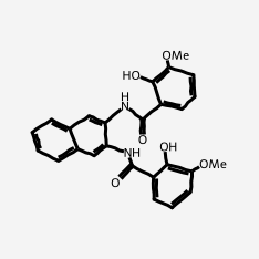 COc1cccc(C(=O)Nc2cc3ccccc3cc2NC(=O)c2cccc(OC)c2O)c1O